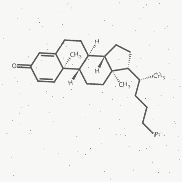 CC(C)CCC[C@@H](C)[C@H]1CC[C@H]2[C@@H]3CCC4=CC(=O)C=C[C@]4(C)[C@H]3CC[C@]12C